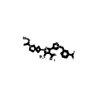 CC(C)(C)OC(=O)N1CC[C@]2(C1)C[C@H](n1nc(-c3cnn(Cc4cccc(C(F)F)c4)c3)c(C(N)=O)c1N)C2